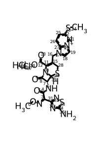 CO/N=C(\C(=O)N[C@@H]1C(=O)N2C(C(=O)[O-])=C(Cn3cc[n+]4nc(SC)ccc34)CS[C@H]12)c1nsc(N)n1.Cl.Cl